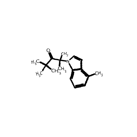 Cc1cccc2c1ccn2C(C)(C)C(=O)C(C)(C)C